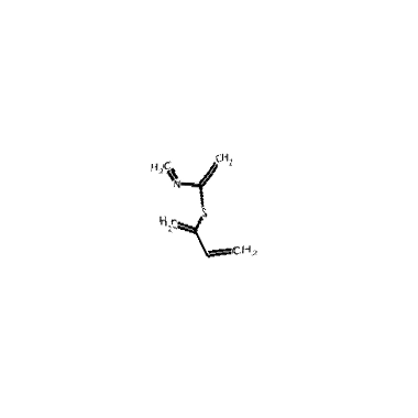 C=CC(=C)SC(=C)N=C